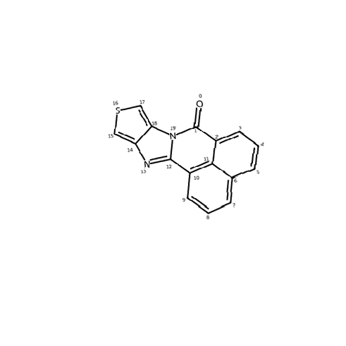 O=c1c2cccc3cccc(c32)c2nc3cscc3n12